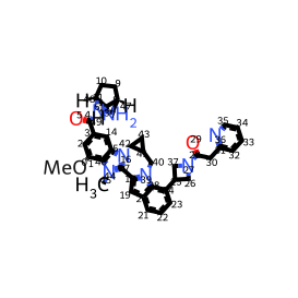 COc1cc(C(=O)N2C[C@H]3CC[C@@H]2[C@@H]3N)cc2nc(-c3cc4cccc(C5CN(C(=O)Cc6ccccn6)C5)c4n3CC3CC3)n(C)c12